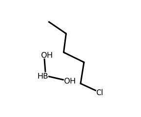 CCCCCCl.OBO